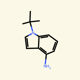 CC(C)(C)n1ccc2c(N)cccc21